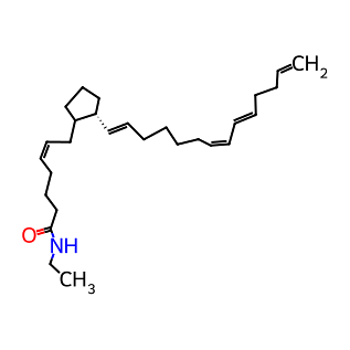 C=CCCC=C/C=C\CCCC/C=C/[C@H]1CCCC1C/C=C\CCCC(=O)NCC